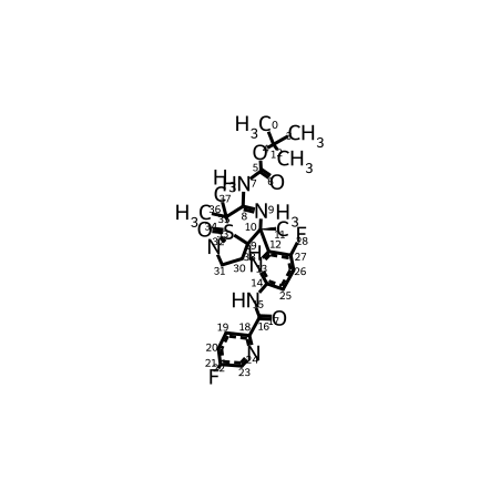 CC(C)(C)OC(=O)NC1=N[C@](C)(c2nc(NC(=O)c3ccc(F)cn3)ccc2F)[C@H]2CCN=[S@@]2(=O)C1(C)C